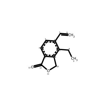 C=Cc1ccc2c(c1CC)COC2=O